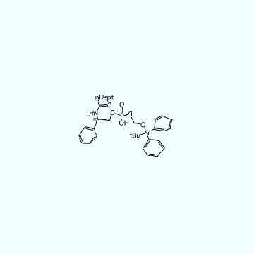 CCCCCCCC(=O)N[C@@H](COP(=O)(O)OCO[Si](c1ccccc1)(c1ccccc1)C(C)(C)C)c1ccccc1